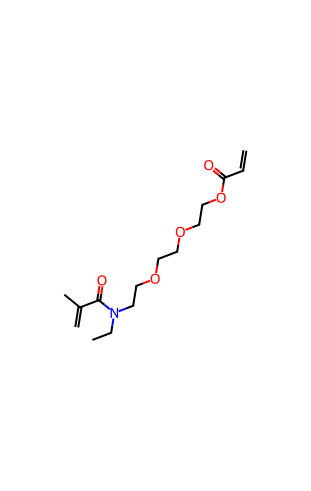 C=CC(=O)OCCOCCOCCN(CC)C(=O)C(=C)C